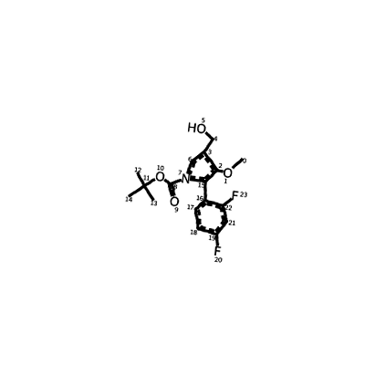 COc1c(CO)cn(C(=O)OC(C)(C)C)c1-c1ccc(F)cc1F